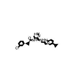 CC(NC(=O)[C@H]1C[C@@H]1c1cccc(Cl)c1)/C(=C/NCc1cn2cc(C3CC3)ccc2n1)N=N